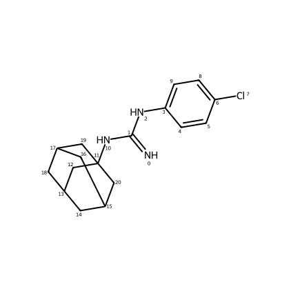 N=C(Nc1ccc(Cl)cc1)NC12CC3CC(CC(C3)C1)C2